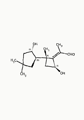 CC(C=O)=C1[C@@H](O)C[C@]1(C)[C@H]1CC(C)(C)C[C@@H]1O